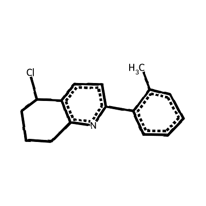 Cc1ccccc1-c1ccc2c(n1)CCCC2Cl